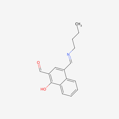 CCCCN=Cc1cc(C=O)c(O)c2ccccc12